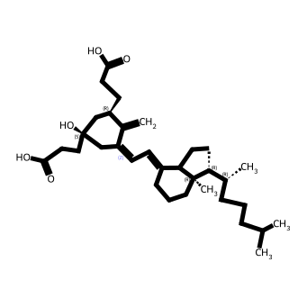 C=C1/C(=C\C=C2CCC[C@@]3(C)C2CC[C@@H]3[C@H](C)CCCC(C)C)C[C@](O)(CCC(=O)O)C[C@H]1CCC(=O)O